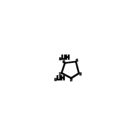 C1CCCC1.[LiH].[LiH]